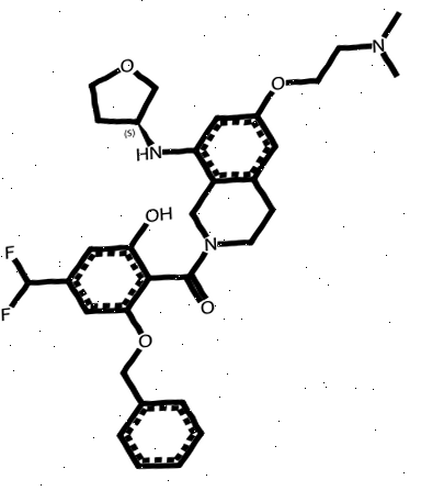 CN(C)CCOc1cc2c(c(N[C@H]3CCOC3)c1)CN(C(=O)c1c(O)cc(C(F)F)cc1OCc1ccccc1)CC2